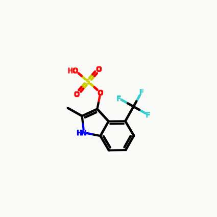 Cc1[nH]c2cccc(C(F)(F)F)c2c1OS(=O)(=O)O